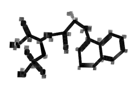 C[C@H](Nc1cccc2ccccc12)C(=O)N[C@@H](CS(=O)(=O)O)C(N)=O